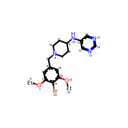 CCOc1cc(CN2CCC(Nc3cncnc3)CC2)cc(OCC)c1Br